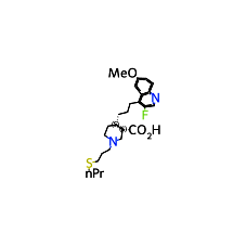 CCCSCCCN1CC[C@H](CCCc2c(F)cnc3ccc(OC)cc23)[C@H](C(=O)O)C1